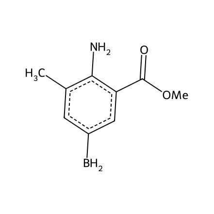 Bc1cc(C)c(N)c(C(=O)OC)c1